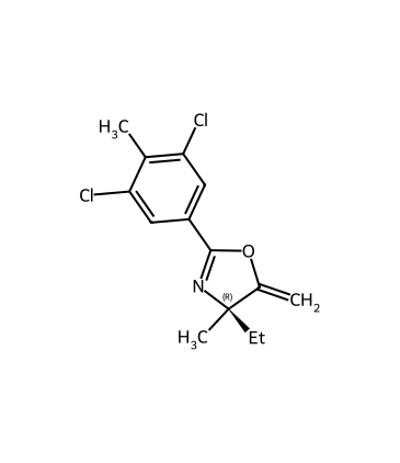 C=C1OC(c2cc(Cl)c(C)c(Cl)c2)=N[C@]1(C)CC